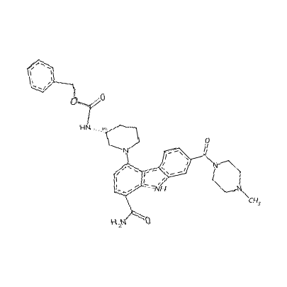 CN1CCN(C(=O)c2ccc3c(c2)[nH]c2c(C(N)=O)ccc(N4CCC[C@@H](NC(=O)OCc5ccccc5)C4)c23)CC1